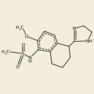 COc1ccc2c(c1NS(C)(=O)=O)CCCC2C1=NCCN1